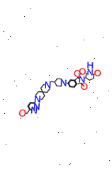 O=Cc1ccc(N2CCC3(CCN(CC4CCN(c5ccc6c(c5)C(=O)N(C5CCC(=O)NC5=O)C6=O)CC4)CC3)CC2)nn1